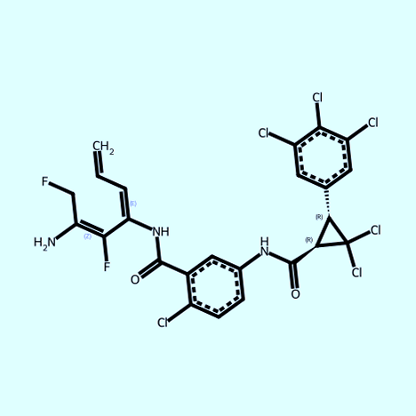 C=C/C=C(NC(=O)c1cc(NC(=O)[C@H]2[C@H](c3cc(Cl)c(Cl)c(Cl)c3)C2(Cl)Cl)ccc1Cl)\C(F)=C(\N)CF